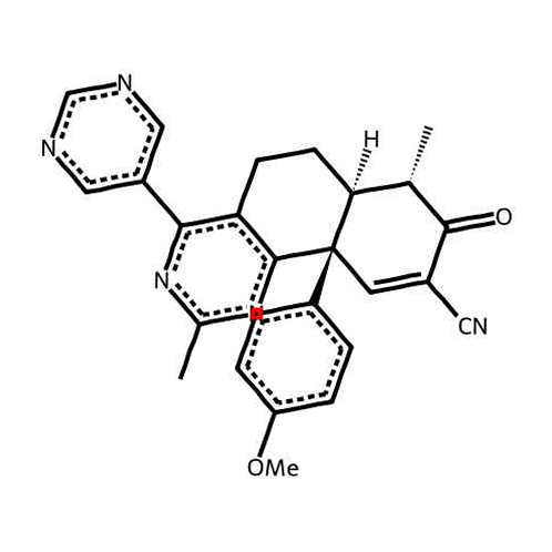 COc1ccc([C@]23C=C(C#N)C(=O)[C@@H](C)[C@@H]2CCc2c(-c4cncnc4)nc(C)nc23)cc1